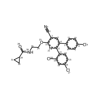 N#Cc1cc(-c2ccc(Cl)cc2)c(-c2ccc(Cl)cc2Cl)nc1OCCNC(=O)C1CC1